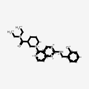 CCN(CC)C(=O)C1CCCN(c2nccc3nc(NCc4ccccc4Cl)ncc23)C1